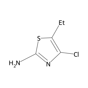 CCc1sc(N)nc1Cl